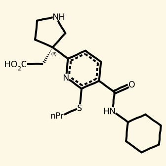 CCCSc1nc([C@@]2(CC(=O)O)CCNC2)ccc1C(=O)NC1CCCCC1